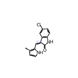 Cc1cc[nH]c1/C=C1\C(=O)Nc2ccc(Cl)cc21